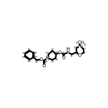 CN1CCOC(CNC(=O)OC2CCN(C(=O)OCc3ccccc3)CC2)C1